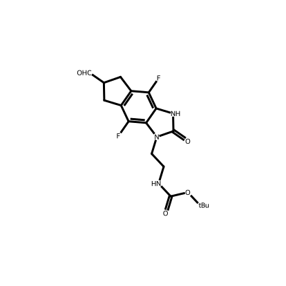 CC(C)(C)OC(=O)NCCn1c(=O)[nH]c2c(F)c3c(c(F)c21)CC(C=O)C3